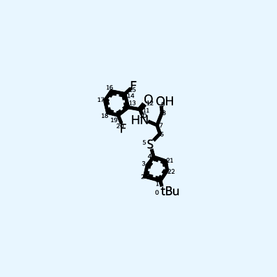 CC(C)(C)c1ccc(SCC(CO)NC(=O)c2c(F)cccc2F)cc1